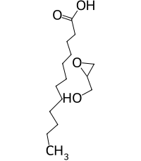 CCCCCCCCCCCC(=O)O.OCC1CO1